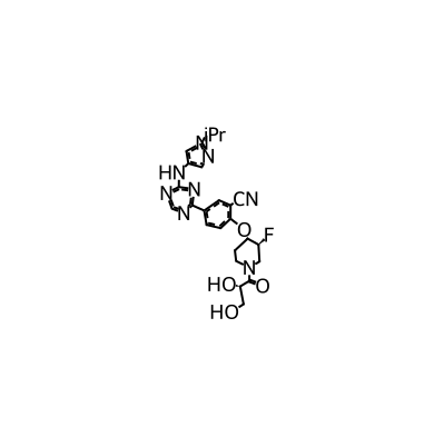 CC(C)n1cc(Nc2ncnc(-c3ccc(O[C@H]4CCN(C(=O)[C@@H](O)CO)C[C@@H]4F)c(C#N)c3)n2)cn1